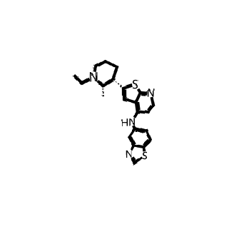 CCN1CCC[C@H](c2cc3c(Nc4ccc5scnc5c4)ccnc3s2)[C@@H]1C